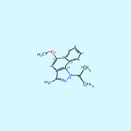 COc1cc2c(C)nn(C(C)C)c2c2ccccc12